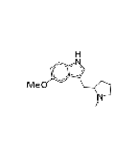 COc1ccc2[nH]cc(CC3CCCN3C)c2c1